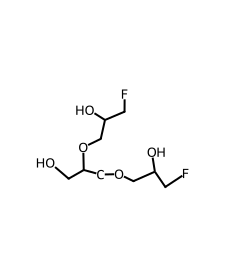 OCC(COCC(O)CF)OCC(O)CF